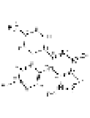 CCn1cnc2c(=O)nc(C3CCC(C(F)(F)F)CC3)n(-c3ccc(F)cc3)c21